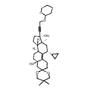 CC1(C)COC2(CCC3=C4[C@@H](CC[C@@]3(O)C2)[C@@H]2CC[C@@](O)(C#CCOC3CCCCO3)[C@@]2(C)C[C@@H]4C2CC2)OC1